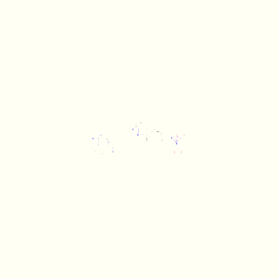 O=[N+]([O-])c1ccc2c(ccn2CCc2cnccn2)c1